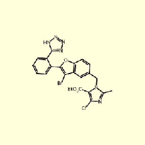 CCOC(=O)c1c(Cl)nc(C)n1Cc1ccc2oc(-c3ccccc3-c3nnn[nH]3)c(Br)c2c1